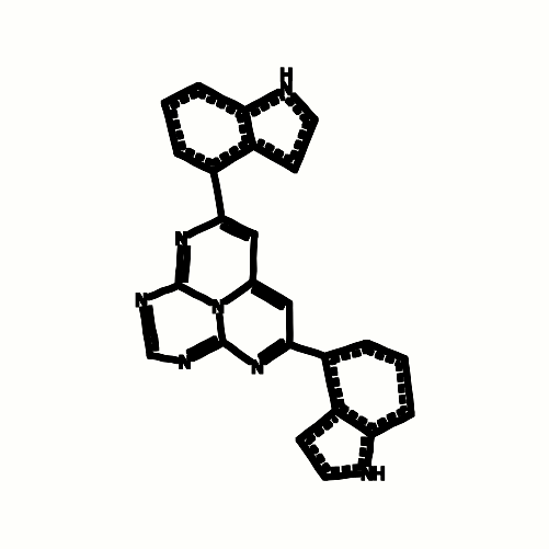 C1=NC2=NC(c3cccc4[nH]ccc34)=CC3=CC(c4cccc5[nH]ccc45)=NC(=N1)N32